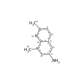 Cc1ccc2cc(N)cc(C)c2n1